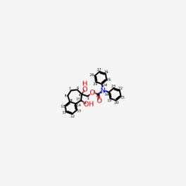 O=C(OCC1(O)CCCc2ccccc2C1O)N(c1ccccc1)c1ccccc1